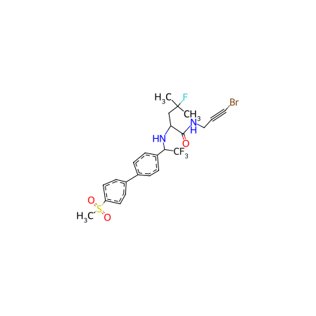 CC(C)(F)CC(NC(c1ccc(-c2ccc(S(C)(=O)=O)cc2)cc1)C(F)(F)F)C(=O)NCC#CBr